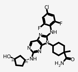 CC1(C(N)=O)CCC(n2c(Nc3c(F)cc(Cl)cc3F)nc3cnc(N[C@@H]4CC[C@@H](O)C4)nc32)CC1